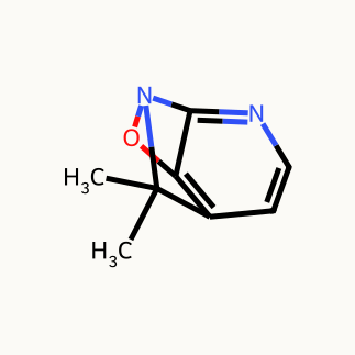 CC1(C)c2ccnc3c2on31